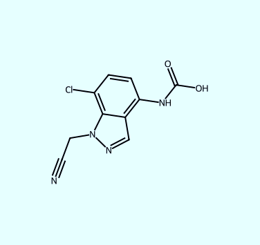 N#CCn1ncc2c(NC(=O)O)ccc(Cl)c21